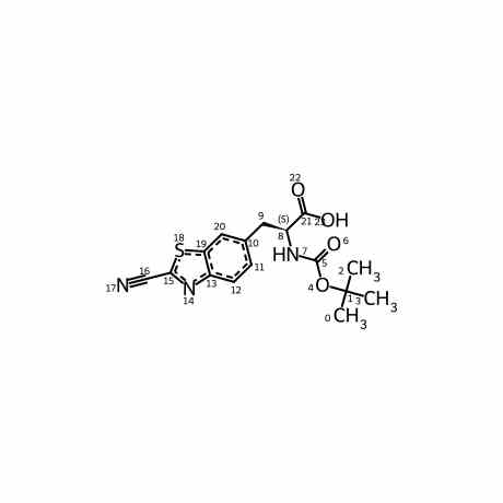 CC(C)(C)OC(=O)N[C@@H](Cc1ccc2nc(C#N)sc2c1)C(=O)O